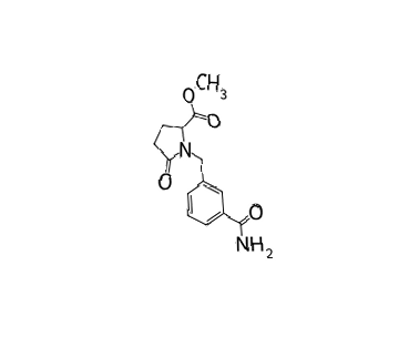 COC(=O)C1CCC(=O)N1Cc1cccc(C(N)=O)c1